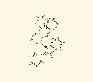 c1ccc(-c2cccc3c2N(c2ccccc2)c2cccc4nc(-c5ccccc5)n-3c24)cc1